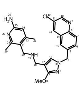 COc1nn(Cc2ccc3ncc(Cl)cc3c2)cc1CNCc1c(C)cc(N)nc1C